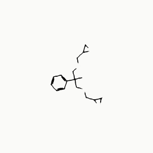 CC(COCC1CO1)(COCC1CO1)c1ccccc1